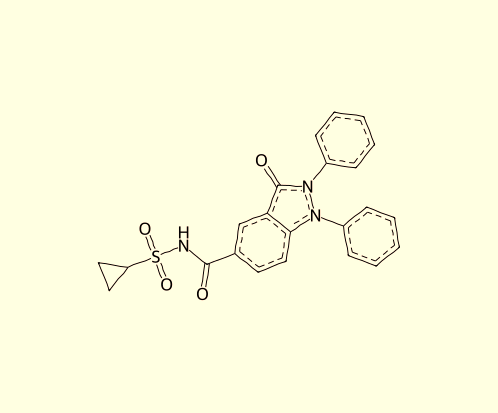 O=C(NS(=O)(=O)C1CC1)c1ccc2c(c1)c(=O)n(-c1ccccc1)n2-c1ccccc1